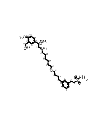 NS(=O)(=O)CCc1cccc(CCCCOCCCCCCNC[C@@H](O)c2ccc(O)c(CO)c2)c1